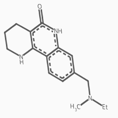 CCN(C)Cc1ccc2c3c(c(=O)[nH]c2c1)CCCN3